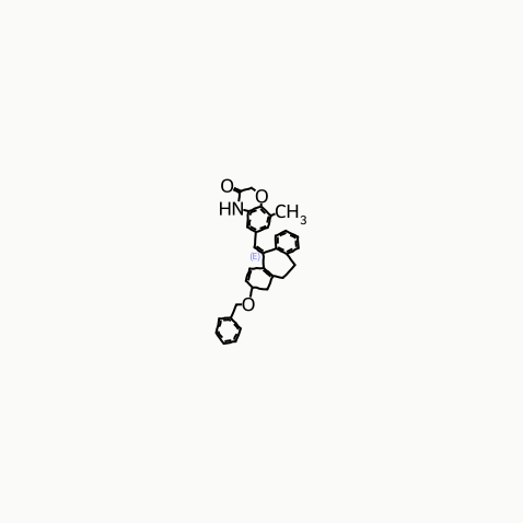 Cc1cc(/C=C2/C3=C(CCc4ccccc42)CC(OCc2ccccc2)C=C3)cc2c1OCC(=O)N2